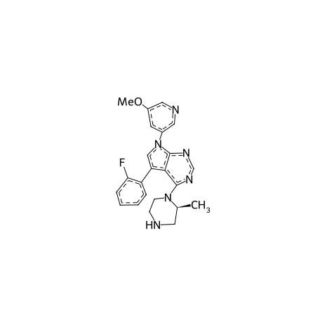 COc1cncc(-n2cc(-c3ccccc3F)c3c(N4CCNC[C@@H]4C)ncnc32)c1